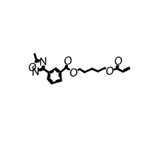 C=CC(=O)OCCCCCOC(=O)c1cccc(-c2noc(C)n2)c1